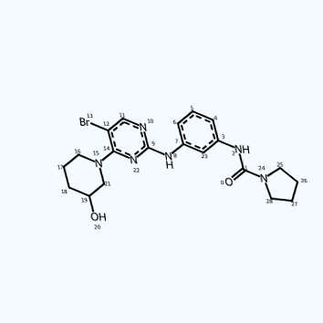 O=C(Nc1cccc(Nc2ncc(Br)c(N3CCCC(O)C3)n2)c1)N1CCCC1